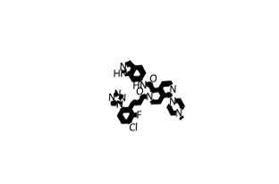 CN1CCN(c2nccc3c2CCN(C(=O)C=Cc2c(-n4cnnn4)ccc(Cl)c2F)C3C(=O)Nc2ccc3cn[nH]c3c2)CC1